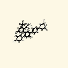 CC1CN(c2cc(F)c(-c3cnc(N4C[C@H](C)O[C@@H](C)C4)nc3)c(F)c2-c2c(C(N)=O)c(C(F)(F)F)cc(=O)n2C)CCN1C